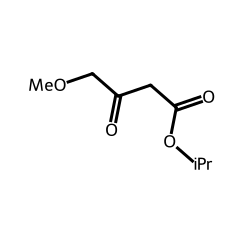 COCC(=O)CC(=O)OC(C)C